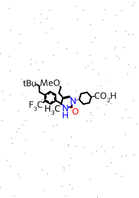 COCCC1=CN([C@H]2CC[C@H](C(=O)O)CC2)C(=O)N[C@@]1(C)c1ccc(CCC(C)(C)C)c(C(F)(F)F)c1